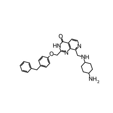 NC1CCC(NCc2nccc3c(=O)[nH]c(COc4ccc(Cc5ccccc5)cc4)nc23)CC1